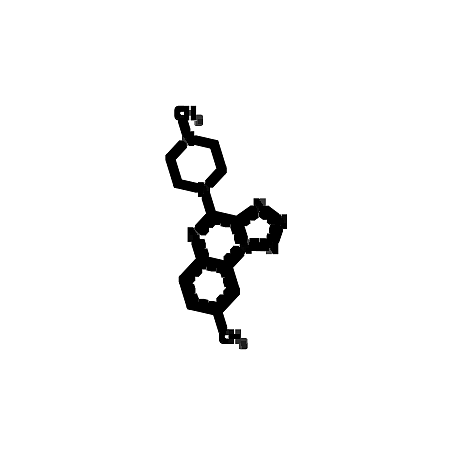 Cc1ccc2nc(N3CCN(C)CC3)c3nnnn3c2c1